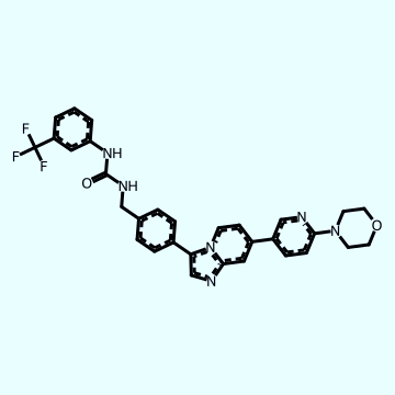 O=C(NCc1ccc(-c2cnc3cc(-c4ccc(N5CCOCC5)nc4)ccn23)cc1)Nc1cccc(C(F)(F)F)c1